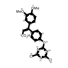 COc1ccc(/C(=C/C(=O)O)c2ccc(Oc3nc(Cl)nc(Cl)n3)cc2)cc1OC